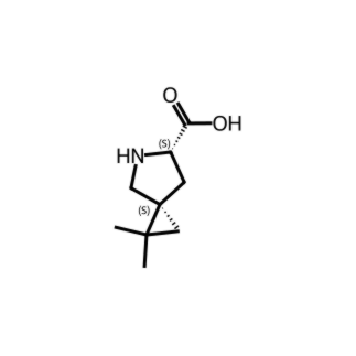 CC1(C)C[C@@]12CN[C@H](C(=O)O)C2